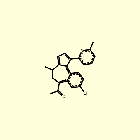 CC(=O)C1=c2cc(Cl)ccc2=C2C(c3cccc(C)n3)=CC=C2C(C)C1